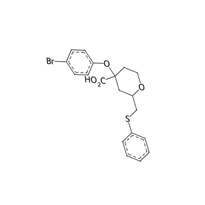 O=C(O)C1(Oc2ccc(Br)cc2)CCOC(CSc2ccccc2)C1